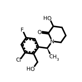 C[C@@H](c1cc(F)cc(Cl)c1CO)N1CCCC(O)C1=O